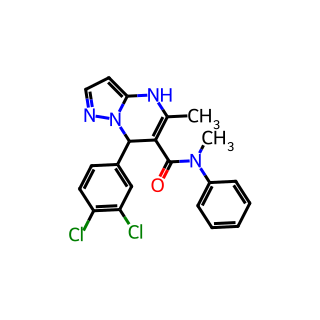 CC1=C(C(=O)N(C)c2ccccc2)C(c2ccc(Cl)c(Cl)c2)n2nccc2N1